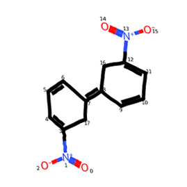 O=[N+]([O-])C1=CC=CC(=C2C=CC=C([N+](=O)[O-])C2)C1